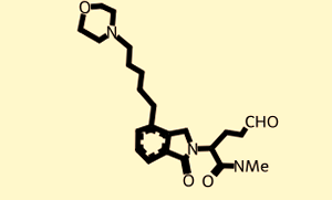 CNC(=O)C(CCC=O)N1Cc2c(CCCCCN3CCOCC3)cccc2C1=O